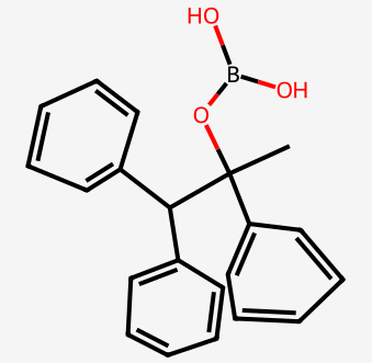 CC(OB(O)O)(c1ccccc1)C(c1ccccc1)c1ccccc1